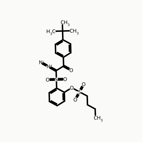 CCCCS(=O)(=O)Oc1ccccc1S(=O)(=O)C(=[N+]=[N-])C(=O)c1ccc(C(C)(C)C)cc1